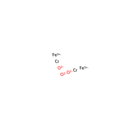 [Cr].[Cr].[Fe+3].[Fe+3].[O-2].[O-2].[O-2]